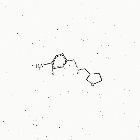 Nc1ccc(SNCC2CCOC2)cc1F